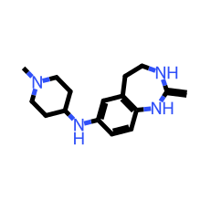 C=C1NCCc2cc(NC3CCN(C)CC3)ccc2N1